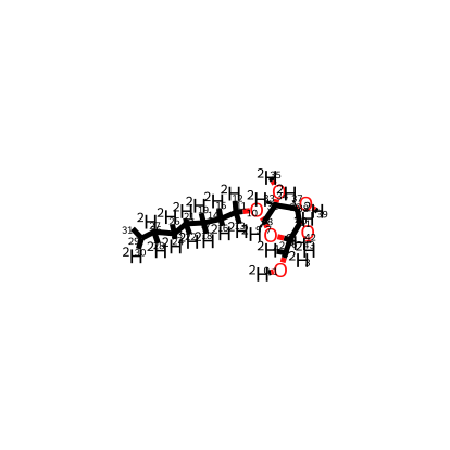 [2H]OC([2H])([2H])[C@@]1([2H])O[C@@]([2H])(OC([2H])([2H])C([2H])([2H])C([2H])([2H])C([2H])([2H])C([2H])([2H])C([2H])([2H])C([2H])C)[C@]([2H])(O[2H])[C@@]([2H])(O[2H])[C@]1([2H])O[2H]